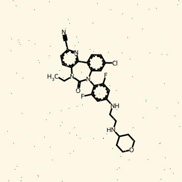 CCN1C(=O)N(c2c(F)cc(NCCNC3CCOCC3)cc2F)c2cc(Cl)ccc2-c2nc(C#N)ccc21